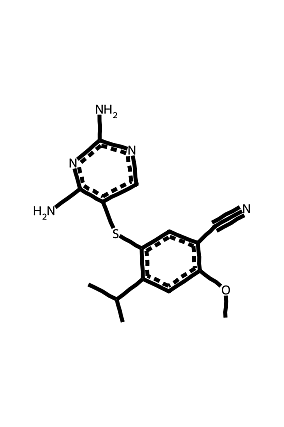 COc1cc(C(C)C)c(Sc2cnc(N)nc2N)cc1C#N